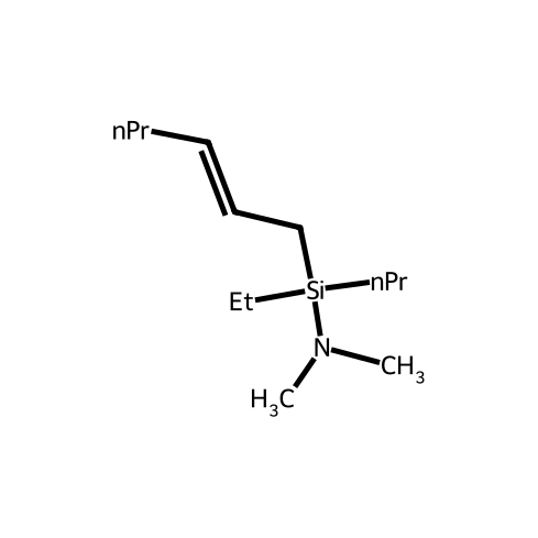 CCCC=CC[Si](CC)(CCC)N(C)C